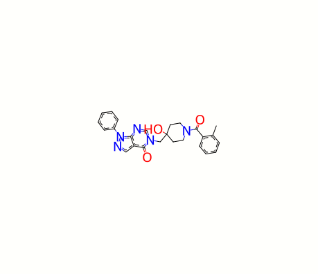 Cc1ccccc1C(=O)N1CCC(O)(Cn2cnc3c(cnn3-c3ccccc3)c2=O)CC1